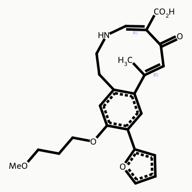 COCCCOc1cc2c(cc1-c1ccco1)/C(C)=C/C(=O)/C(C(=O)O)=C\NCC2